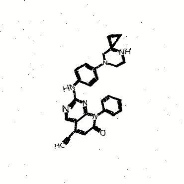 C#Cc1cc(=O)n(-c2ccccc2)c2nc(Nc3ccc(N4CCNC5(CC5)C4)cc3)ncc12